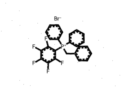 Fc1c(F)c(F)c([P+](Cc2ccccc2)(c2ccccc2)c2ccccc2)c(F)c1F.[Br-]